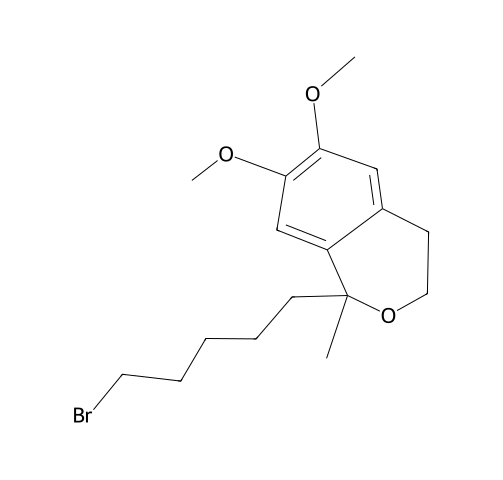 COc1cc2c(cc1OC)C(C)(CCCCCBr)OCC2